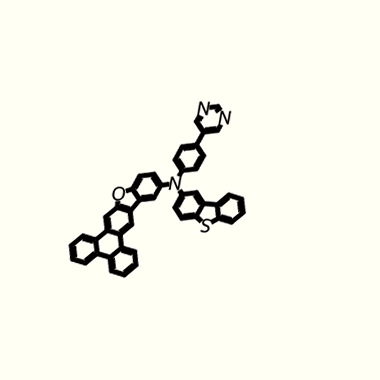 c1ccc2c(c1)sc1ccc(N(c3ccc(-c4cncnc4)cc3)c3ccc4oc5cc6c7ccccc7c7ccccc7c6cc5c4c3)cc12